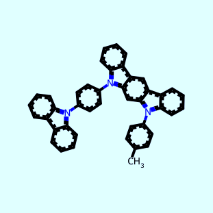 Cc1ccc(-n2c3ccccc3c3cc4c5ccccc5n(-c5ccc(-n6c7ccccc7c7ccccc76)cc5)c4cc32)cc1